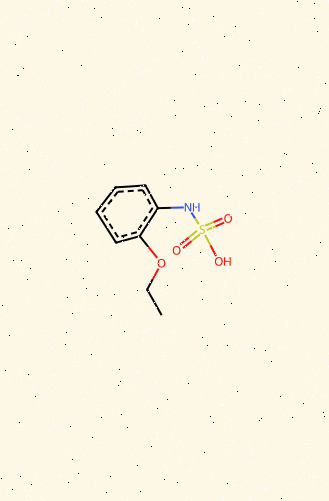 CCOc1ccccc1NS(=O)(=O)O